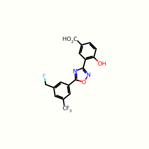 O=C(O)c1ccc(O)c(-c2noc(-c3cc(CF)cc(C(F)(F)F)c3)n2)c1